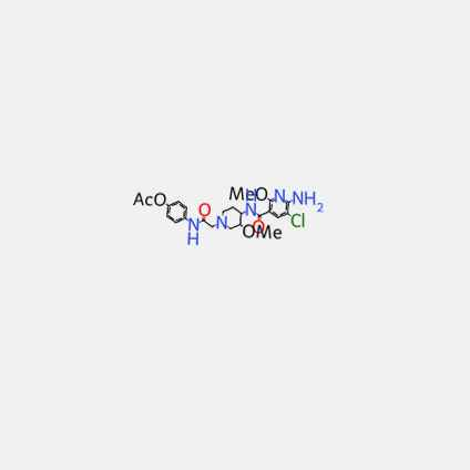 COc1nc(N)c(Cl)cc1C(=O)N[C@@H]1CCN(CC(=O)Nc2ccc(OC(C)=O)cc2)C[C@@H]1OC